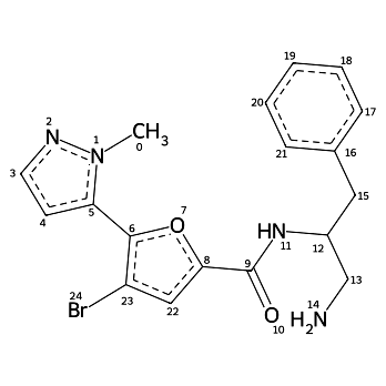 Cn1nccc1-c1oc(C(=O)NC(CN)Cc2ccccc2)cc1Br